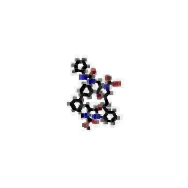 COC(=O)N[C@@H](Cc1ccccc1-c1ccccc1)C(=O)Nc1ccccc1CC[C@@H]1CN(C(=O)O)[C@H](CNC(=O)Nc2ccccc2)CO1